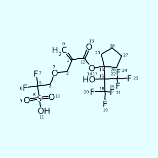 C=C(COCC(F)(F)S(=O)(=O)O)C(=O)OC1(C(O)(C(F)(F)F)C(F)(F)F)CCCC1